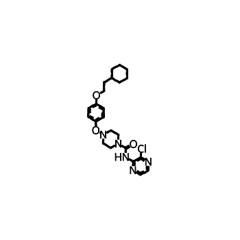 O=C(Nc1nccnc1Cl)N1CCN(Oc2ccc(OCCC3CCCCC3)cc2)CC1